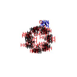 Cn1c(=O)c2c(ncn2C)n(C)c1=O.OC[C@H]1O[C@@H]2O[C@H]3[C@H](O)[C@@H](O)[C@@H](O[C@H]4[C@H](O)[C@@H](O)[C@@H](O[C@H]5[C@H](O)[C@@H](O)[C@@H](O[C@H]6[C@H](O)[C@@H](O)[C@@H](O[C@H]7[C@H](O)[C@@H](O)[C@@H](O[C@H]8[C@H](O)[C@@H](O)[C@@H](O[C@H]1[C@H](O)[C@H]2O)O[C@@H]8CO)O[C@@H]7CO)O[C@@H]6CO)O[C@@H]5CO)O[C@@H]4CO)O[C@@H]3CO